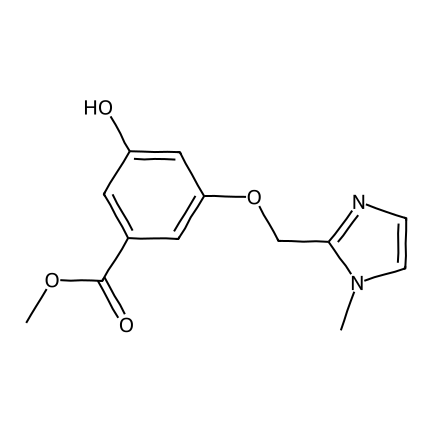 COC(=O)c1cc(O)cc(OCc2nccn2C)c1